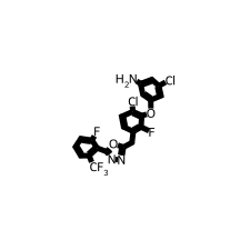 Nc1cc(Cl)cc(Oc2c(Cl)ccc(Cc3nnc(-c4c(F)cccc4C(F)(F)F)o3)c2F)c1